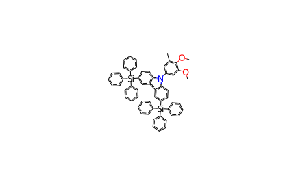 COc1cc(-n2c3ccc([Si](c4ccccc4)(c4ccccc4)c4ccccc4)cc3c3cc([Si](c4ccccc4)(c4ccccc4)c4ccccc4)ccc32)cc(C)c1OC